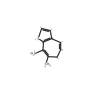 CC1=C(N)c2sccc2C=CC1